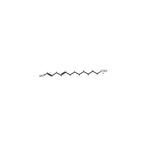 CCC/C=C/C/C=C/CCCCCCC[C]=O